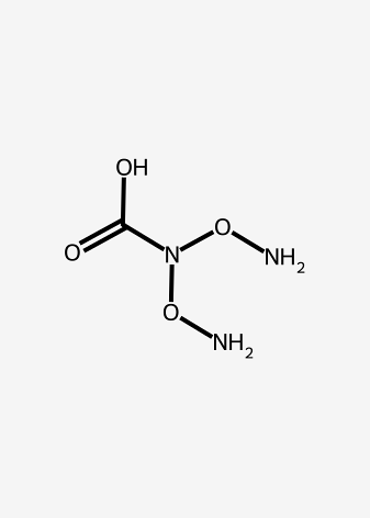 NON(ON)C(=O)O